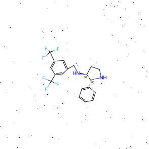 FC(F)(F)c1cc(CN[C@H]2CCN[C@@H]2c2ccccc2)cc(C(F)(F)F)c1